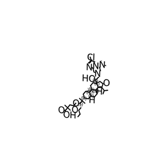 CCCC[C@H](OC(=O)CC(C)(C)C(=O)O)C(C)(C)[C@@H]1CC[C@]2(C)[C@H](CC[C@@H]3C4=C(C(C)C)C(=O)C[C@]4([C@@H](O)CN(CCN(C)C)Cc4ncc(Cl)cn4)CC[C@]32C)C1